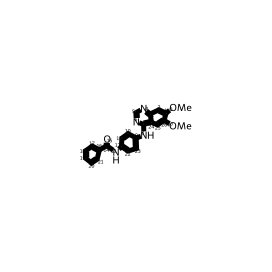 COc1cc2ncnc(Nc3ccc(NC(=O)c4ccccc4)cc3)c2cc1OC